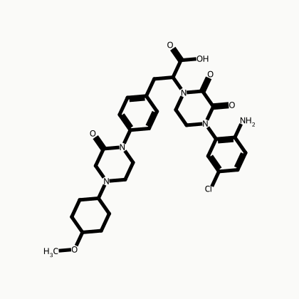 COC1CCC(N2CCN(c3ccc(CC(C(=O)O)N4CCN(c5cc(Cl)ccc5N)C(=O)C4=O)cc3)C(=O)C2)CC1